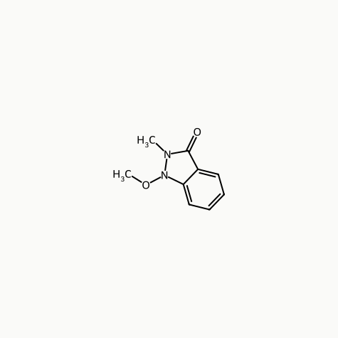 COn1c2ccccc2c(=O)n1C